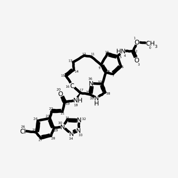 COC(=O)Nc1ccc2c(c1)CCC/C=C/C[C@H](NC(=O)/C=C/c1cc(Cl)ccc1-n1cnnn1)c1nc-2c[nH]1